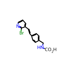 O=C(O)NCc1ccc(C=Cc2cccnc2Br)cc1